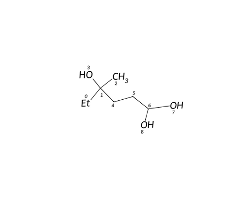 CCC(C)(O)CCC(O)O